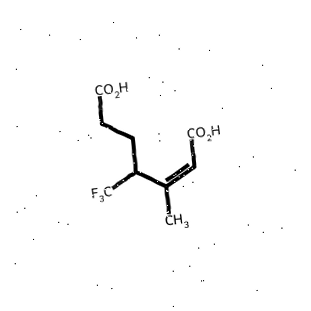 CC(=CC(=O)O)C(CCC(=O)O)C(F)(F)F